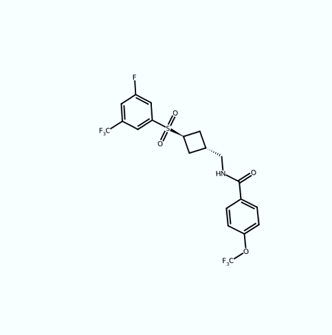 O=C(NC[C@H]1C[C@H](S(=O)(=O)c2cc(F)cc(C(F)(F)F)c2)C1)c1ccc(OC(F)(F)F)cc1